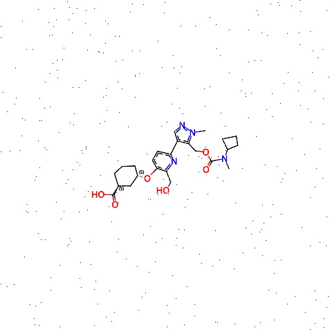 CN(C(=O)OCc1c(-c2ccc(O[C@H]3CCC[C@H](C(=O)O)C3)c(CO)n2)cnn1C)C1CCC1